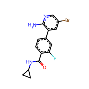 Nc1ncc(Br)cc1-c1ccc(C(=O)NC2CC2)c(F)c1